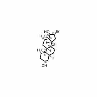 C[C@]12CC[C@@H](O)C[C@@H]1CC[C@@H]1[C@@H]2CC[C@]2(C)[C@@H](O)[C@@H](Br)C[C@@H]12